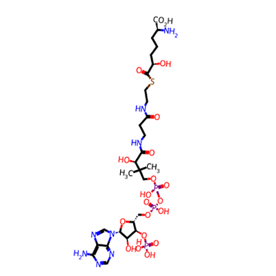 CC(C)(COP(=O)(O)OP(=O)(O)OC[C@H]1O[C@@H](n2cnc3c(N)ncnc32)[C@H](O)[C@@H]1OP(=O)(O)O)[C@@H](O)C(=O)NCCC(=O)NCCSC(=O)[C@H](O)CCC[C@H](N)C(=O)O